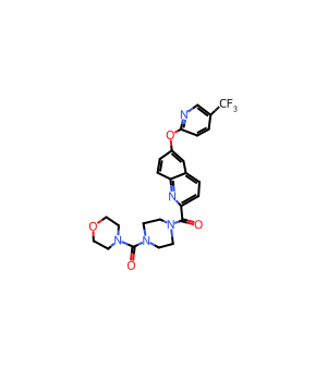 O=C(c1ccc2cc(Oc3ccc(C(F)(F)F)cn3)ccc2n1)N1CCN(C(=O)N2CCOCC2)CC1